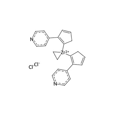 C1=CC(c2ccncc2)=[C]([Zr+2]2([C]3=C(c4ccncc4)C=CC3)[CH2][CH2]2)C1.[Cl-].[Cl-]